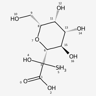 O=C(O)C(O)([SiH3])[C@@H]1O[C@H](CO)[C@H](O)[C@H](O)[C@H]1O